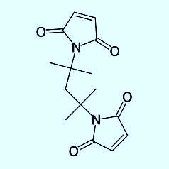 CC(C)(CC(C)(C)N1C(=O)C=CC1=O)N1C(=O)C=CC1=O